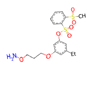 CCc1cc(OCCCON)cc(OS(=O)(=O)c2ccccc2S(C)(=O)=O)c1